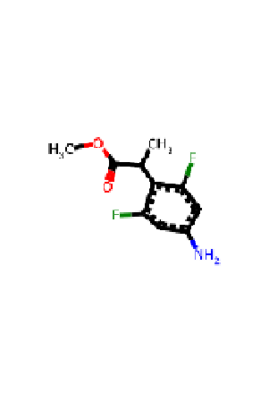 COC(=O)C(C)c1c(F)cc(N)cc1F